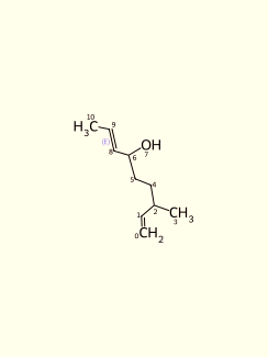 C=CC(C)CCC(O)/C=C/C